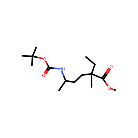 CCC(C)(CCC(C)NC(=O)OC(C)(C)C)C(=O)OC